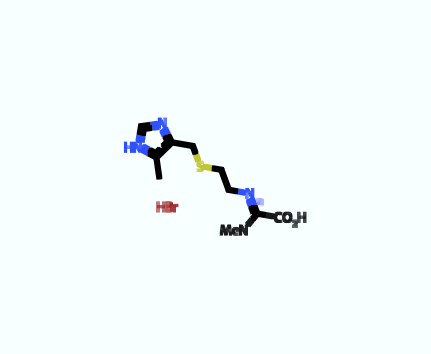 Br.CN/C(=N\CCSCc1nc[nH]c1C)C(=O)O